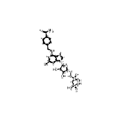 NC(=O)c1ccc(CNc2nc(Cl)nc3c2ncn3[C@@H]2O[C@H](COP(=O)(O)CP(=O)(O)O)C(O)C2O)cc1